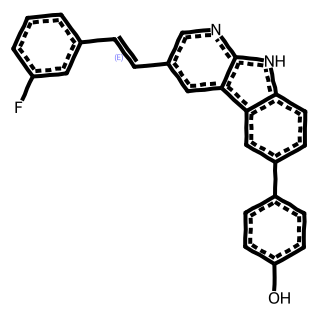 Oc1ccc(-c2ccc3[nH]c4ncc(/C=C/c5cccc(F)c5)cc4c3c2)cc1